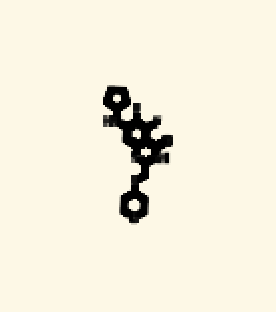 O=c1[nH]c(CSC2CCOCC2)nc2cc(NC3CCCC3)c(F)c(F)c12